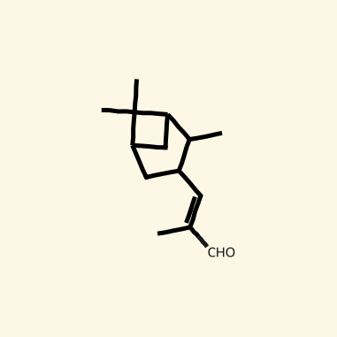 CC(C=O)=CC1CC2CC(C1C)C2(C)C